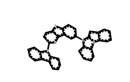 c1ccc2c(c1)cc1n(-c3ccc4sc5ccc(-n6c7ccccc7c7ccccc76)nc5c4c3)c3ccccc3n21